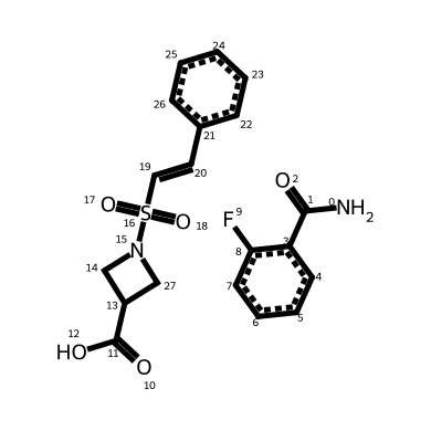 NC(=O)c1ccccc1F.O=C(O)C1CN(S(=O)(=O)C=Cc2ccccc2)C1